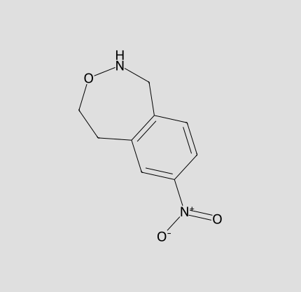 O=[N+]([O-])c1ccc2c(c1)CCONC2